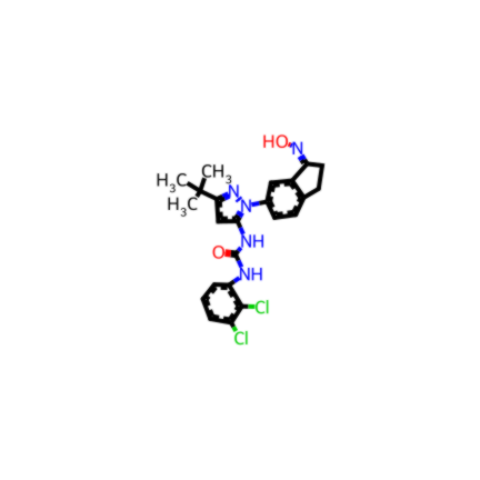 CC(C)(C)c1cc(NC(=O)Nc2cccc(Cl)c2Cl)n(-c2ccc3c(c2)/C(=N\O)CC3)n1